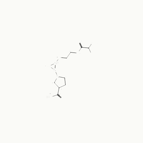 CC(C)C(=O)OCCOn1on1N1CCC(C(=O)O)C1